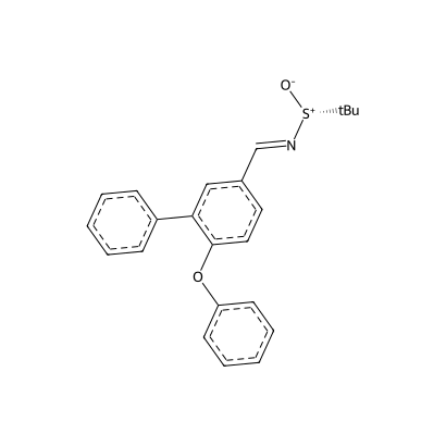 CC(C)(C)[S@@+]([O-])N=Cc1ccc(Oc2ccccc2)c(-c2ccccc2)c1